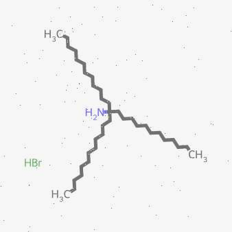 Br.CCCCCCCCCCCCC(N)(CCCCCCCCCCCC)CCCCCCCCCCCC